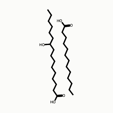 CCCCCCC(O)CCCCCCCCC(=O)O.CCCCCCCCCCCCC(=O)O